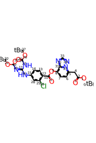 CC(C)(C)OC(=O)Cc1ccc(OC(=O)c2ccc(N/C(=N/C(=O)OC(C)(C)C)NC(=O)OC(C)(C)C)cc2Cl)c2ncnn12